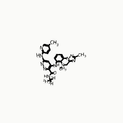 [2H]C([2H])([2H])NC(=O)c1nnc(Nc2ccc(C)cn2)cc1Nc1cccc2c1N(C)Cc1nc(C)nn1-2